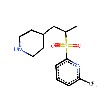 CC(CC1CCNCC1)S(=O)(=O)c1cccc(C(F)(F)F)n1